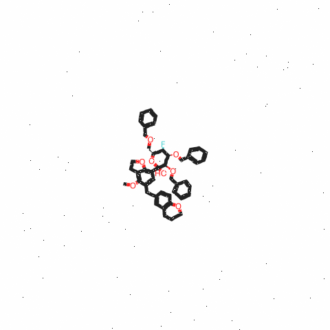 COc1c(Cc2ccc3c(c2)CCCO3)cc(C2(O)O[C@H](COCc3ccccc3)[C@@H](F)[C@H](OCc3ccccc3)[C@H]2OCc2ccccc2)c2c1CCO2